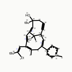 CC/C(=C\C1=C(C)C/C(c2cc[n+](C)cc2)=C\[C@H]2C#CCC(O)(C(C)(C)C)/C=C(\C=C\1)C2(C)O)C(C)(C)C